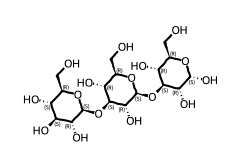 OC[C@H]1O[C@@H](O[C@@H]2[C@@H](O)[C@H](O[C@@H]3[C@@H](O)[C@@H](O)O[C@H](CO)[C@H]3O)O[C@H](CO)[C@H]2O)[C@H](O)[C@@H](O)[C@@H]1O